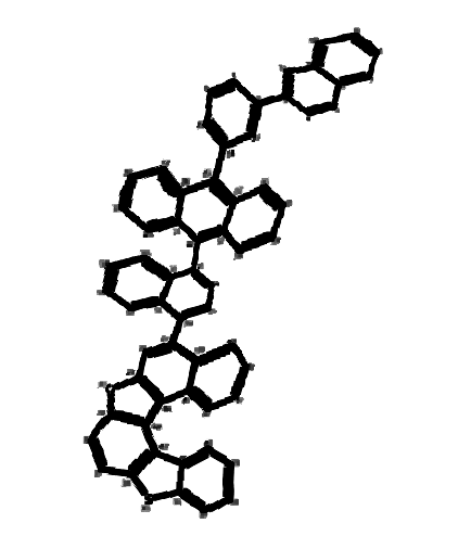 c1cc(-c2ccc3ccccc3c2)cc(-c2c3ccccc3c(-c3ccc(-c4cc5oc6ccc7sc8ccccc8c7c6c5c5ccccc45)c4ccccc34)c3ccccc23)c1